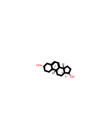 C[C@]12CC[C@H]3C(=CC=C4C[C@@H](O)CC[C@@]43C)[C@@H]1CC[C@H]2O